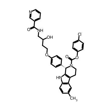 Cc1ccc2[nH]c3c(c2c1)CCN(C(=O)Oc1ccc(Cl)cc1)[C@H]3c1ccc(OCCC(O)CNC(=O)c2cccnc2)cc1